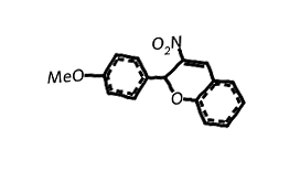 COc1ccc(C2Oc3ccccc3C=C2[N+](=O)[O-])cc1